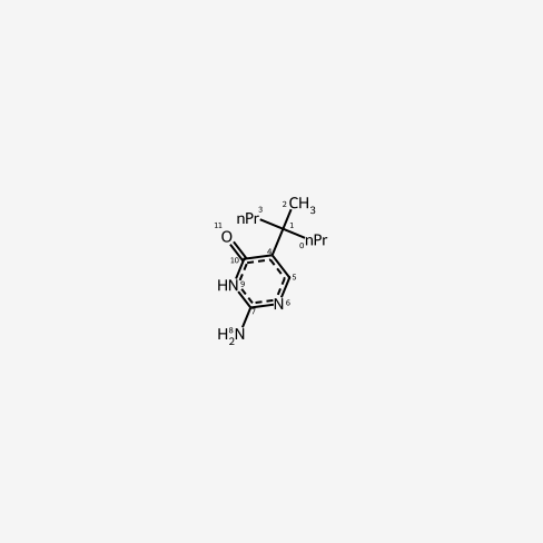 CCCC(C)(CCC)c1cnc(N)[nH]c1=O